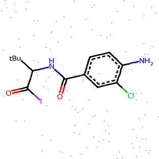 CC(C)(C)C(NC(=O)c1ccc(N)c(Cl)c1)C(=O)I